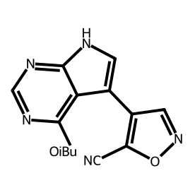 CC(C)COc1ncnc2[nH]cc(-c3cnoc3C#N)c12